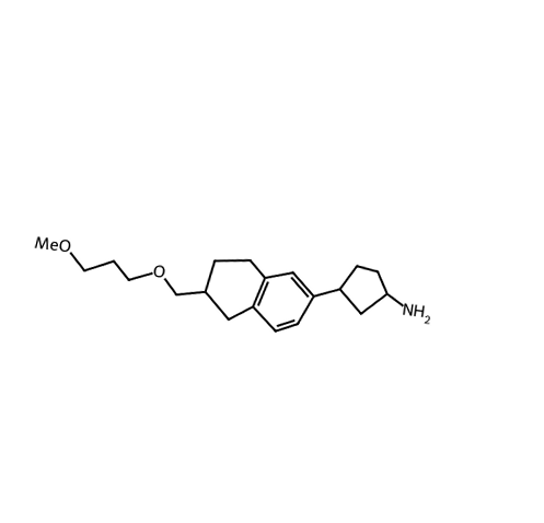 COCCCOCC1CCc2cc(C3CCC(N)C3)ccc2C1